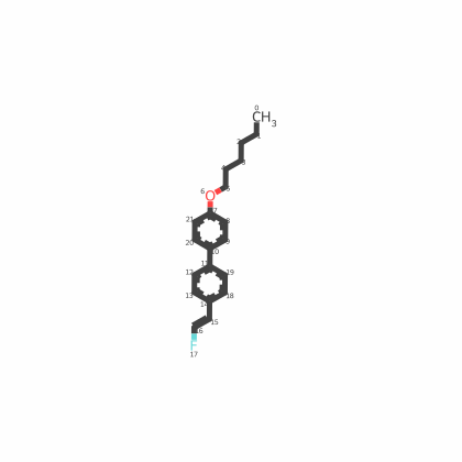 CCCCCCOc1ccc(-c2ccc(C=CF)cc2)cc1